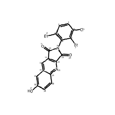 CCc1ccc(Cl)c(CC)c1N1C(=O)c2cc3cc(O)ccc3nc2C1=O